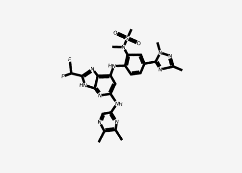 Cc1nc(-c2ccc(Nc3cc(Nc4cnc(C)c(C)n4)nc4[nH]c(C(F)F)nc34)c(N(C)S(C)(=O)=O)c2)n(C)n1